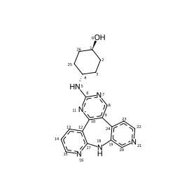 O[C@H]1CC[C@H](Nc2ncc3c(n2)-c2cccnc2Nc2cnccc2-3)CC1